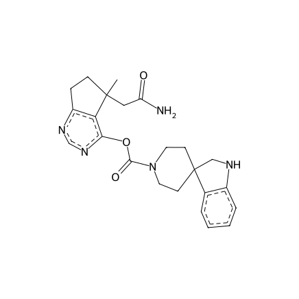 CC1(CC(N)=O)CCc2ncnc(OC(=O)N3CCC4(CC3)CNc3ccccc34)c21